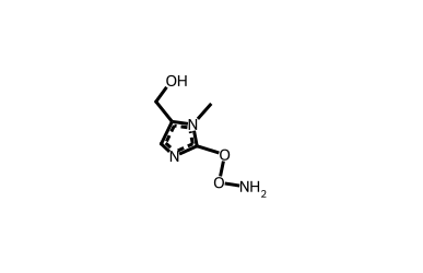 Cn1c(CO)cnc1OON